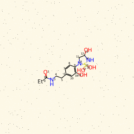 CCC(=O)NCCc1ccc(N2CC(O)NS2(O)O)c(O)c1